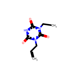 C=CCn1c(=O)[nH]c(=O)n(CC)c1=O